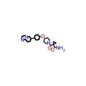 NC(=O)C1(C(=O)N2CCC(Oc3ccc(-c4ccc5nccn5c4)cc3)CC2)CC1